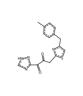 Cc1ccc(Cc2csc(CC(=O)C(=O)c3nc[nH]n3)n2)cc1